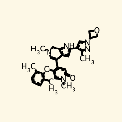 Cc1cccc(C)c1Oc1cn(C)c(=O)cc1C1=CN(C)Cc2[nH]c(-c3cn(C4COC4)nc3C)cc21